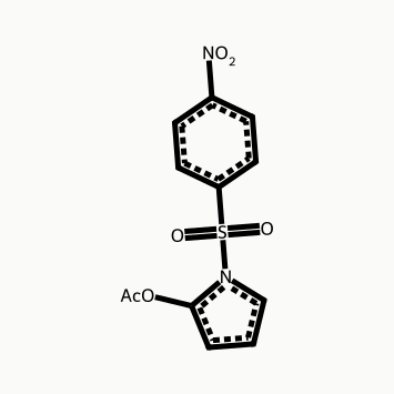 CC(=O)Oc1cccn1S(=O)(=O)c1ccc([N+](=O)[O-])cc1